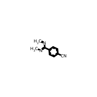 C=N/C(=N\C)c1ccc(C#N)cc1